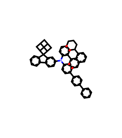 c1ccc(-c2ccc(-c3ccc(N(c4ccc5c(c4)C4(c6ccccc6-5)C5CC6CC7CC4C675)c4ccccc4-c4cccc5cccc(C6CCCCC6)c45)cc3)cc2)cc1